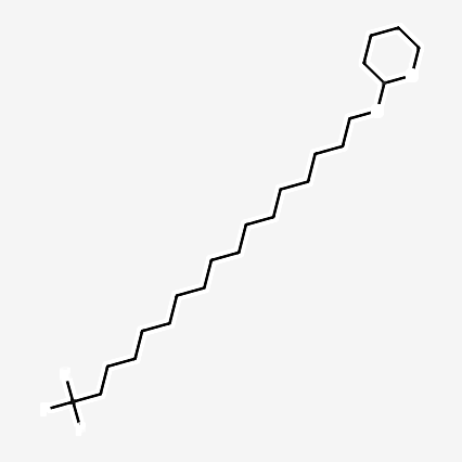 FC(F)(F)CCCCCCCCCCCCCCCCOC1CCCCO1